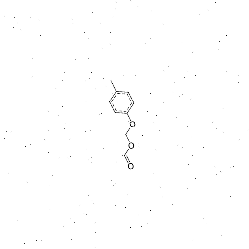 Cc1ccc(OCO[C]=O)cc1